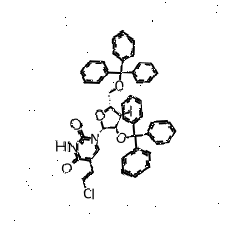 O=c1[nH]c(=O)n([C@@H]2O[C@H](COC(c3ccccc3)(c3ccccc3)c3ccccc3)[C@@H](I)[C@H]2OC(c2ccccc2)(c2ccccc2)c2ccccc2)cc1C=CCl